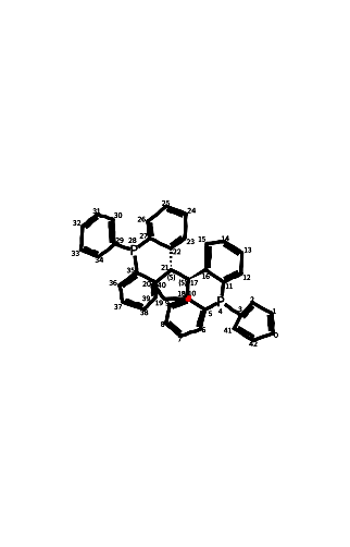 c1ccc(P(c2ccccc2)c2ccccc2[C@H]2CCC[C@@H]2c2ccccc2P(c2ccccc2)c2ccccc2)cc1